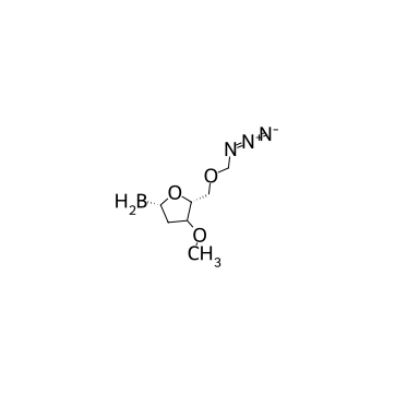 B[C@H]1CC(OC)[C@@H](COCN=[N+]=[N-])O1